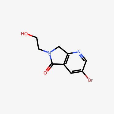 O=C1c2cc(Br)cnc2CN1CCO